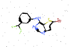 FC(F)c1cccc(Nc2ncnc3cc(Br)sc23)c1